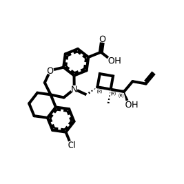 C=CC[C@@H](O)[C@]1(C)CC[C@H]1CN1CC2(CCCc3cc(Cl)ccc32)COc2ccc(C(=O)O)cc21